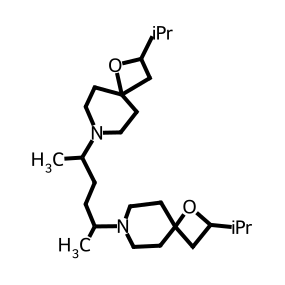 CC(C)C1CC2(CCN(C(C)CCC(C)N3CCC4(CC3)CC(C(C)C)O4)CC2)O1